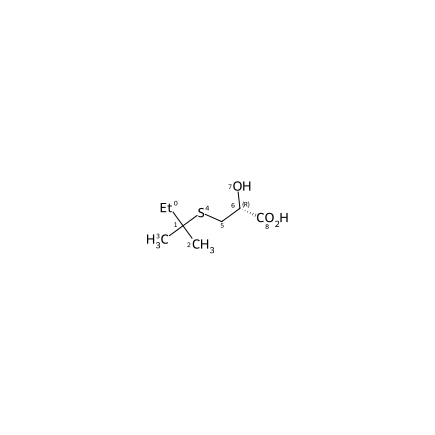 CCC(C)(C)SC[C@H](O)C(=O)O